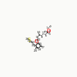 CCOC(C)(C)CCCC(C)CCOc1cc(C)cc(C)c1CCCSC